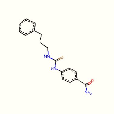 NC(=O)c1ccc(NC(=S)NCCCc2ccccc2)cc1